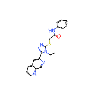 CCn1c(SCC(=O)Nc2ccccc2)nnc1-c1cc2cccnc2cn1